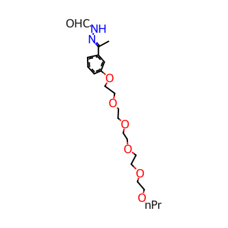 CCCOCCOCCOCCOCCOCCOc1cccc(/C(C)=N/NC=O)c1